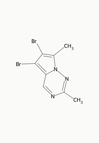 Cc1ncc2c(Br)c(Br)c(C)n2n1